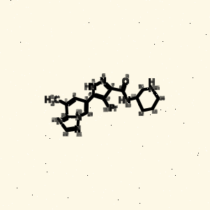 Cc1cc(-c2[nH]nc(C(=O)NC3CCCNC3)c2C(C)C)cn2ncnc12